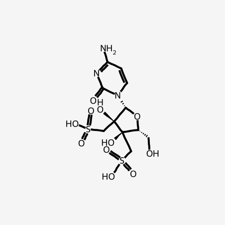 Nc1ccn([C@@H]2O[C@H](CO)[C@](O)(CS(=O)(=O)O)[C@]2(O)CS(=O)(=O)O)c(=O)n1